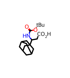 CC(C)(C)OC(=O)NC(CC(=O)O)C12CC3CC(CC(C3)C1)C2